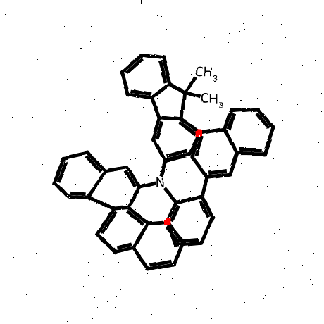 CC1(C)c2ccccc2-c2cc(N(c3ccccc3-c3ccc4ccccc4c3)c3cc4ccccc4c4ccc5ccccc5c34)ccc21